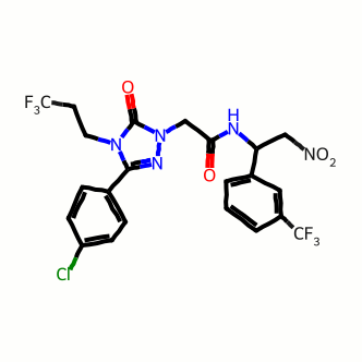 O=C(Cn1nc(-c2ccc(Cl)cc2)n(CCC(F)(F)F)c1=O)NC(C[N+](=O)[O-])c1cccc(C(F)(F)F)c1